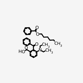 CCCCCCOC(=O)c1ccccc1.CCN(CC)c1cccc(C(=O)O)c1C(=O)c1ccccc1